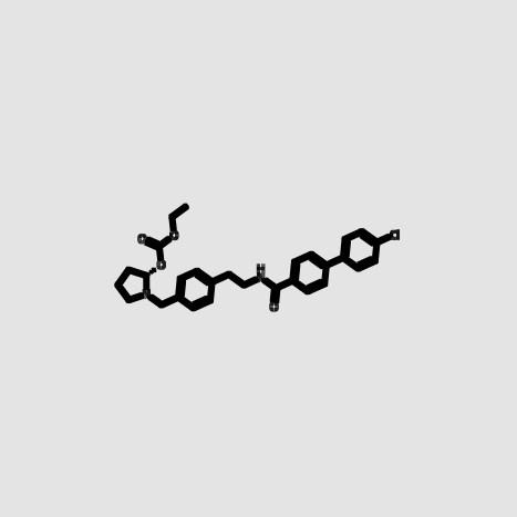 CCOC(=O)O[C@H]1CCCN1Cc1ccc(CCNC(=O)c2ccc(-c3ccc(Cl)cc3)cc2)cc1